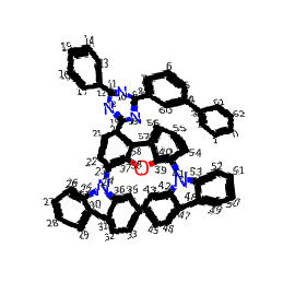 c1ccc(-c2cccc(-c3nc(-c4ccccc4)nc(-c4ccc(-n5c6ccccc6c6ccccc65)c5oc6c(-n7c8ccccc8c8ccccc87)cccc6c45)n3)c2)cc1